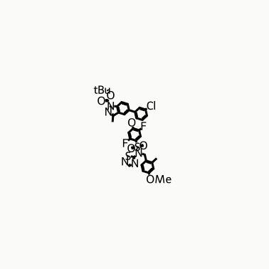 COc1ccc(CN(c2ncns2)S(=O)(=O)c2cc(F)c(Oc3ccc(Cl)cc3-c3ccc4c(c3)c(C)nn4C(=O)OC(C)(C)C)cc2F)c(C)c1